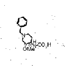 CO[C@@H]1CN(Cc2ccccc2)CC[C@H]1NC(=O)O